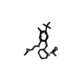 COCCOc1cc(C)c(C(C)(C)C)cc1CN1CCCC[C@H]1C(C)=O